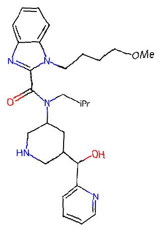 COCCCCn1c(C(=O)N(CC(C)C)C2CNCC(C(O)c3ccccn3)C2)nc2ccccc21